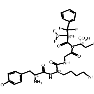 CC(C)C[C@@H](C(=O)O)N(C(=O)CNC(=O)[C@@H](CCCCN)NC(=O)[C@@H](N)Cc1ccc(O)cc1)C(=O)[C@@](F)(N(F)F)C(F)(F)c1ccccc1